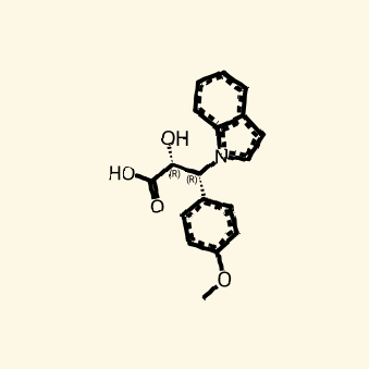 COc1ccc([C@H]([C@@H](O)C(=O)O)n2ccc3ccccc32)cc1